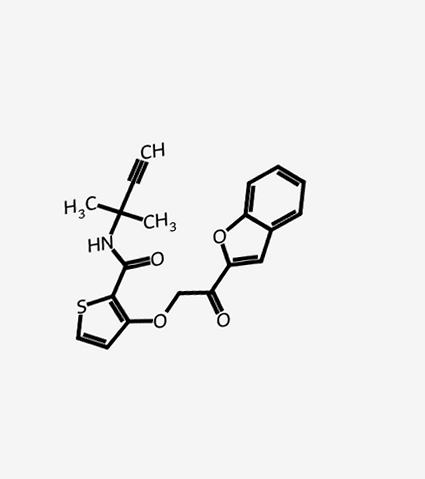 C#CC(C)(C)NC(=O)c1sccc1OCC(=O)c1cc2ccccc2o1